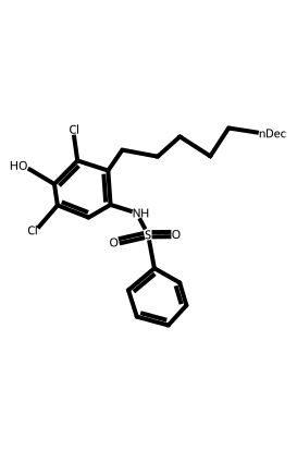 CCCCCCCCCCCCCCCc1c(NS(=O)(=O)c2ccccc2)cc(Cl)c(O)c1Cl